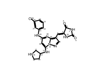 O=C1NC(=O)C(=Cc2cnn3c(NC4CCNC4)cc(Nc4cccc(Cl)c4)nc23)N1